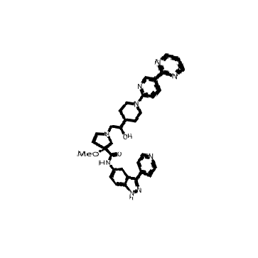 CO[C@@]1(C(=O)NC2=CC=C3NN=C(c4ccncc4)C3C2)CCN(CC(O)C2CCN(c3ccc(-c4ncccn4)cn3)CC2)C1